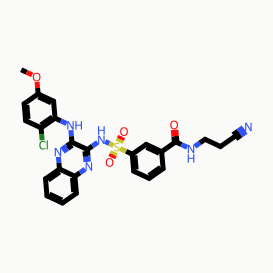 COc1ccc(Cl)c(Nc2nc3ccccc3nc2NS(=O)(=O)c2cccc(C(=O)NCCC#N)c2)c1